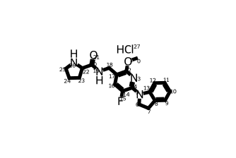 COc1nc(N2CCc3ccccc32)c(F)cc1CNC(=O)C1CCCN1.Cl